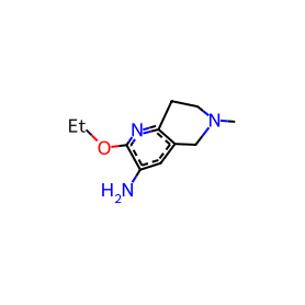 CCOc1nc2c(cc1N)CN(C)CC2